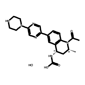 CC(=O)N1c2ccc(-c3cnc(N4CCNCC4)cn3)cc2[C@@H](NC(=O)O)C[C@H]1C.Cl